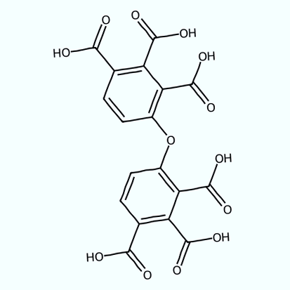 O=C(O)c1ccc(Oc2ccc(C(=O)O)c(C(=O)O)c2C(=O)O)c(C(=O)O)c1C(=O)O